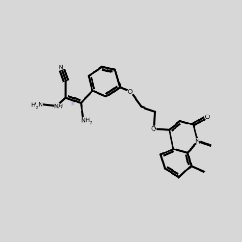 Cc1cccc2c(OCCOc3cccc(/C(N)=C(\C#N)NN)c3)cc(=O)n(C)c12